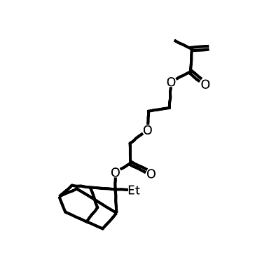 C=C(C)C(=O)OCCOCC(=O)OC1(CC)C2CC3CC(C2)CC1C3